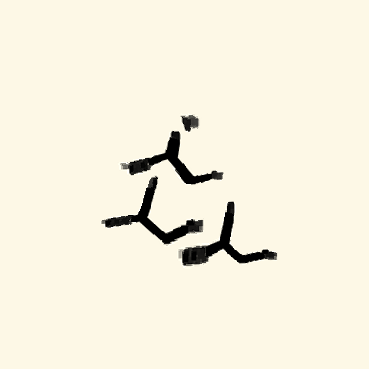 CC(=O)CC(=O)C(=O)[O-].CC(=O)CC(=O)C(=O)[O-].CC(=O)CC(=O)C(=O)[O-].[V+3]